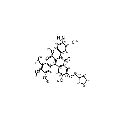 COC(=O)c1c(-c2cc(OC)c(OC)c(OC)c2)c2cc(OC)c(OCC3CCCC3)cc2c(=O)n1-c1ccc(N)cc1.Cl